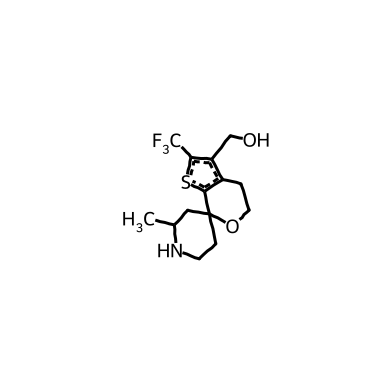 CC1CC2(CCN1)OCCc1c2sc(C(F)(F)F)c1CO